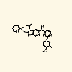 COC1CCN(c2nccc(Nc3cc4c(cn3)nc(COC3CCCCO3)n4C(C)C)n2)CC1C